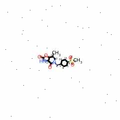 Cc1cn(Cc2ccc(S(C)(=O)=O)cc2)c(=O)c2[nH]c(=O)oc12